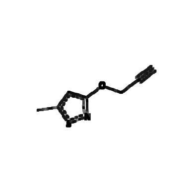 C#CCOc1cc(C)sn1